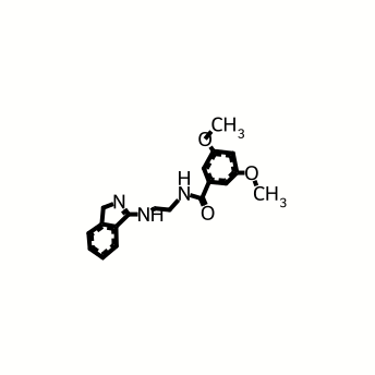 COc1cc(OC)cc(C(=O)NCCNC2=NCc3ccccc32)c1